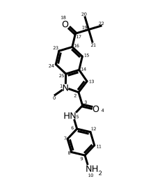 Cn1c(C(=O)Nc2ccc(N)cc2)cc2cc(C(=O)C(C)(C)C)ccc21